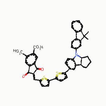 CC1(C)c2ccccc2-c2ccc(N3c4ccc(-c5ccc(-c6ccc(C=C7C(=O)c8cc(C(=O)O)c(C(=O)O)cc8C7=O)s6)s5)cc4C4CCCC43)cc21